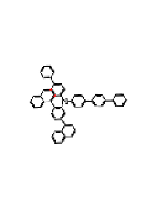 c1ccc(-c2ccc(-c3ccc(N(c4ccc(-c5ccccc5)cc4)c4cc(-c5cccc6ccccc56)ccc4-c4cccc5ccccc45)cc3)cc2)cc1